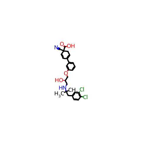 CC(C)(Cc1ccc(Cl)c(Cl)c1)NC[C@@H](O)COc1cccc(C2=CCC(C#N)(C(=O)O)C=C2)c1